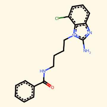 Nc1nc2cccc(Cl)c2n1CCCCNC(=O)c1ccccc1